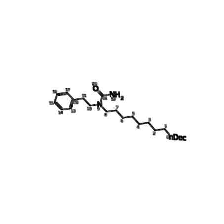 CCCCCCCCCCCCCCCCCCN(CCc1ccccc1)C(N)=O